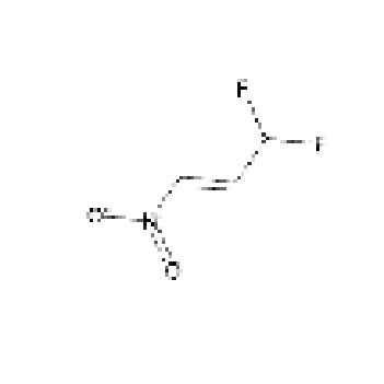 O=[N+]([O-])/C=C/C(F)F